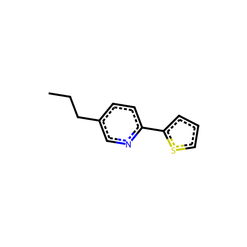 CCCc1ccc(-c2cccs2)nc1